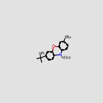 CCCCCCCCN1c2ccc(C(C)(C)C)cc2Oc2cc(C(C)(C)CCC)ccc21